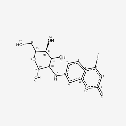 O=c1cc(I)c2ccc(NC3C(O)[C@H](O)C(CO)O[C@H]3O)cc2o1